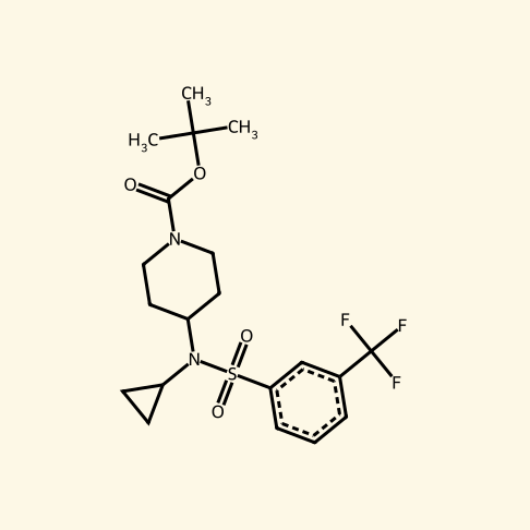 CC(C)(C)OC(=O)N1CCC(N(C2CC2)S(=O)(=O)c2cccc(C(F)(F)F)c2)CC1